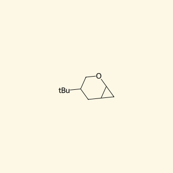 CC(C)(C)C1COC2CC2C1